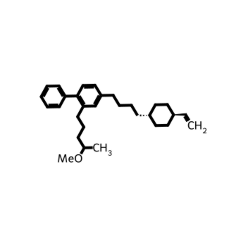 C=C[C@H]1CC[C@H](CCCCc2ccc(-c3ccccc3)c(CCCC(C)OC)c2)CC1